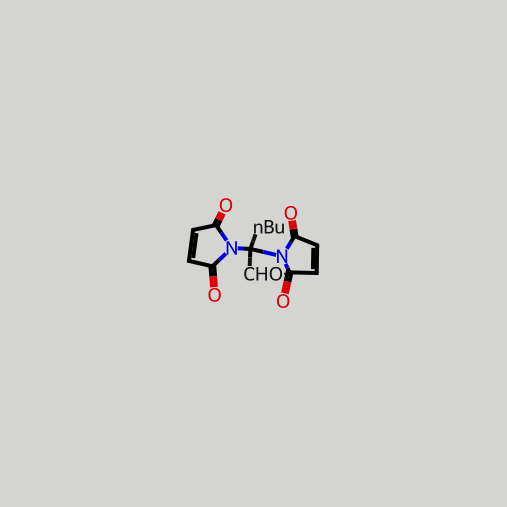 CCCCC([C]=O)(N1C(=O)C=CC1=O)N1C(=O)C=CC1=O